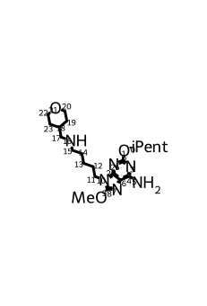 CCC[C@H](C)Oc1nc(N)c2nc(OC)n(CCCCCNCC3CCOCC3)c2n1